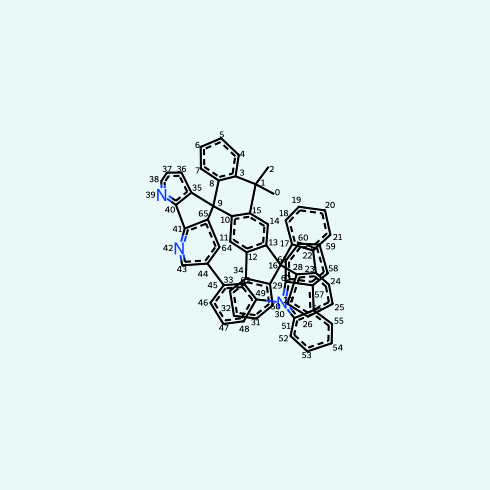 CC1(C)c2ccccc2C2(c3cc4c(cc31)C1(c3ccccc3-c3ccccc31)c1ccccc1-4)c1cccnc1-c1ncc(-c3cccc(-n4c5ccccc5c5ccccc54)c3)cc12